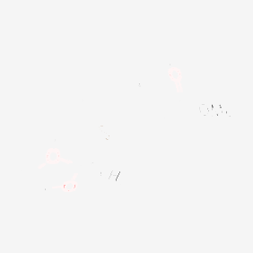 COC(=O)/C=C/c1ccc(C2(C)OCCO2)s1